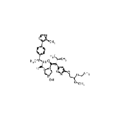 CCOC(COc1cc([C@H](C(=O)N2C[C@H](O)C[C@H]2C(=O)N[C@@H](C)c2ccc(-c3scnc3C)cc2)C(C)C)on1)OC